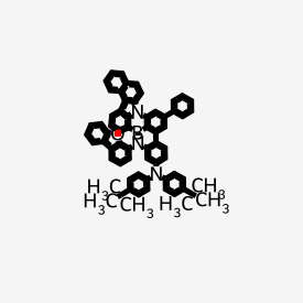 CC(C)(C)c1ccc(N(c2ccc(C(C)(C)C)cc2)c2ccc3c(c2)N(c2cccc4c2oc2ccccc24)B2c4c-3cc(-c3ccccc3)cc4-n3c4ccc5ccccc5c4c4cccc2c43)cc1